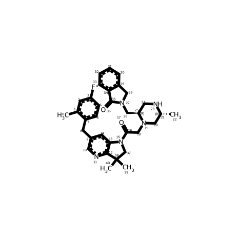 Cc1cc(F)ccc1Cc1cnc2c(c1)N(C(=O)CN1C[C@@H](C)NC[C@@H]1CN1Cc3ccccc3C1=O)CC2(C)C